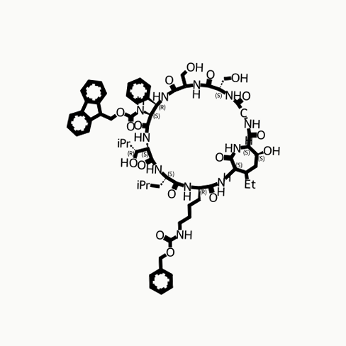 CCC1C[C@H](O)[C@@H]2NC(=O)[C@H]1NC(=O)[C@@H](CCCCNC(=O)OCc1ccccc1)NC(=O)[C@H](CC(C)C)NC(=O)[C@H]([C@H](O)C(C)C)NC(=O)[C@@H](NC(=O)OCC1c3ccccc3-c3ccccc31)[C@@H](c1ccccc1)NC(=O)C(CO)NC(=O)[C@H](CO)NC(=O)CNC2=O